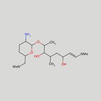 CN/C=C/C(O)CC(C)C(O)C(C)OC1OC(CNC)CCC1N